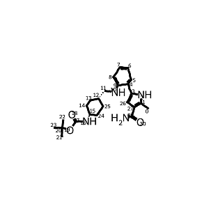 Cc1[nH]c(-c2ccccc2NC[C@H]2CC[C@@H](NC(=O)OC(C)(C)C)CC2)cc1C(N)=O